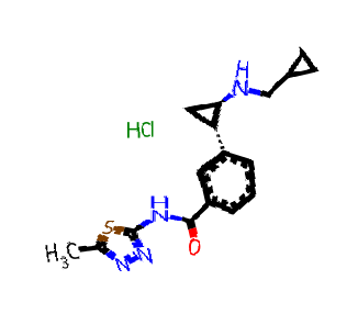 Cc1nnc(NC(=O)c2cccc([C@@H]3C[C@H]3NCC3CC3)c2)s1.Cl